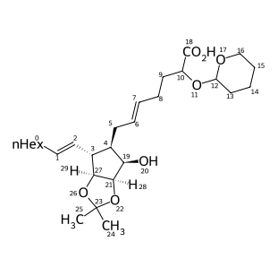 CCCCCCC=C[C@@H]1[C@@H](CC=CCCC(OC2CCCCO2)C(=O)O)[C@@H](O)[C@H]2OC(C)(C)O[C@@H]12